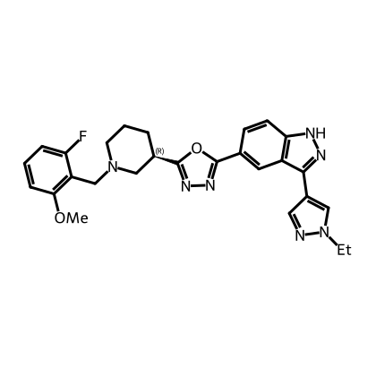 CCn1cc(-c2n[nH]c3ccc(-c4nnc([C@@H]5CCCN(Cc6c(F)cccc6OC)C5)o4)cc23)cn1